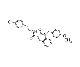 COc1ccc(Cn2c(=O)c(C(=O)NCCc3ccc(Cl)cc3)cc3ccccc32)cc1